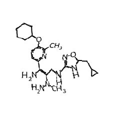 Cc1nc(/C(N)=C(\CNC2=NOC(CC3CC3)N2)N(C)N)ccc1OC1CCCCC1